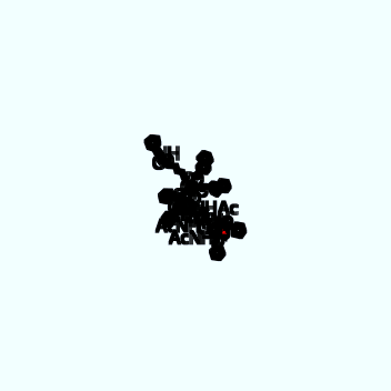 CC(=O)N[C@@H]1[C@H](O[C@@H]2[C@@H](NC(C)=O)[C@@H](O[C@@H]3[C@H](OCc4ccc5ccccc5c4)[C@@H](OCc4ccc5ccccc5c4)[C@@H](OCCCCCOC(=O)NCc4ccccc4)O[C@@H]3COCc3ccccc3)O[C@@H]3CO[C@H](c4ccccc4)O[C@H]23)O[C@@H](C)[C@@H](O)[C@H]1O[C@@H]1O[C@@H]2CO[C@@H](c3ccccc3)O[C@H]2[C@H](OCc2ccccc2)[C@@H]1NC(C)=O